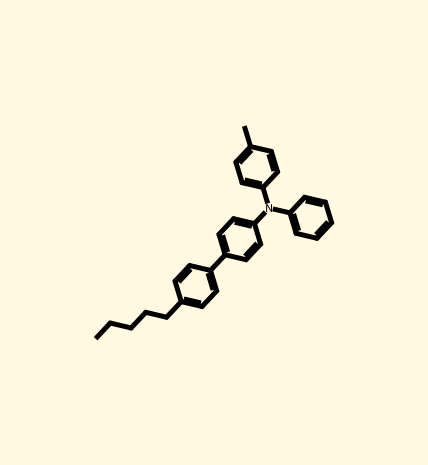 CCCCCc1ccc(-c2ccc(N(c3ccccc3)c3ccc(C)cc3)cc2)cc1